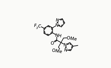 COCC(COC)(C(=O)Nc1ccc(C(F)(F)F)cc1-n1cccn1)n1cc(C)cn1